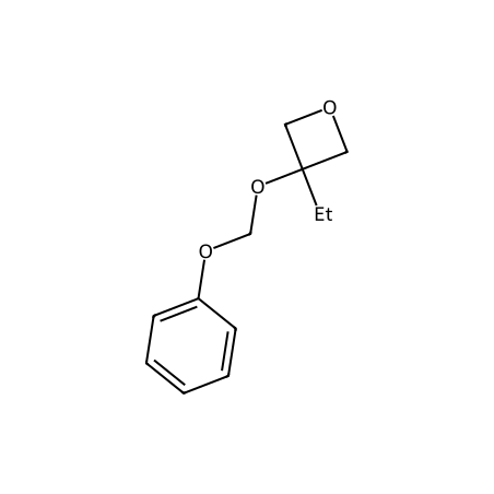 CCC1(OCOc2ccccc2)COC1